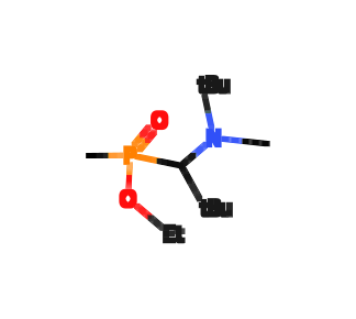 CCOP(C)(=O)C(N(C)C(C)(C)C)C(C)(C)C